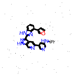 CC(C)Nc1cncc(-c2cc3c(-c4nc5c(-c6ccoc6)cccc5[nH]4)n[nH]c3cn2)c1